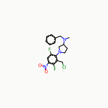 CN(Cc1ccccc1)C1CCN(c2c(F)cc([N+](=O)[O-])c(F)c2CCl)C1